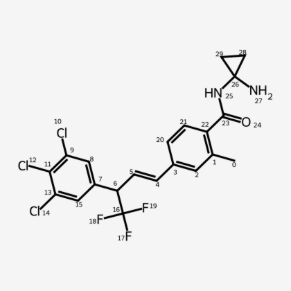 Cc1cc(/C=C/C(c2cc(Cl)c(Cl)c(Cl)c2)C(F)(F)F)ccc1C(=O)NC1(N)CC1